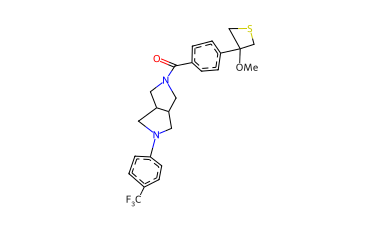 COC1(c2ccc(C(=O)N3CC4CN(c5ccc(C(F)(F)F)cc5)CC4C3)cc2)CSC1